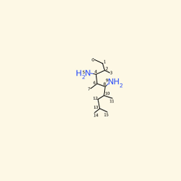 CCC(C)C(N)C(C)C(N)C(C)CC(C)C